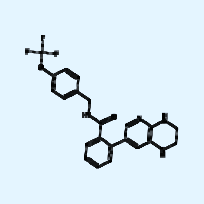 O=C(NCc1ccc(OC(F)(F)F)cc1)c1ccccc1-c1cnc2c(c1)NCCN2